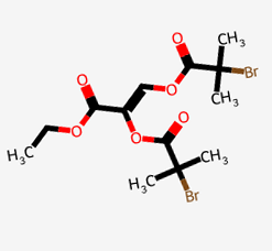 CCOC(=O)C(=COC(=O)C(C)(C)Br)OC(=O)C(C)(C)Br